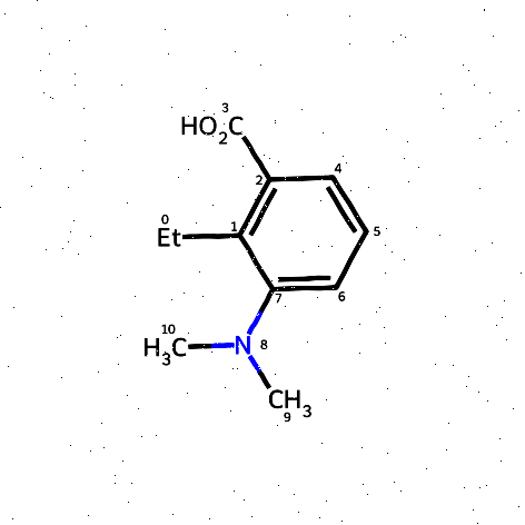 CCc1c(C(=O)O)cccc1N(C)C